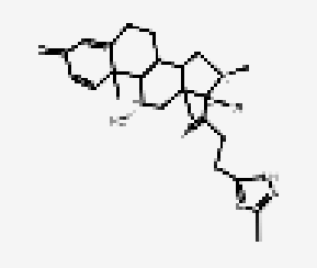 Cc1n[nH]c(SCC(=O)[C@@]2(O)[C@H](C)CC3C4CCC5=CC(=O)C=CC5(C)C4[C@@H](O)CC32C)n1